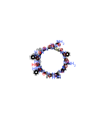 CCCC[C@H]1C(=O)N(C)[C@@H](CCCC)C(=O)N[C@@H]([C@@H](C)CC)C(=O)N[C@H](C(=O)NCC(N)=O)CSCC(=O)N[C@@H](Cc2ccccc2)C(=O)N(C)[C@@H](C)C(=O)N[C@@H](CC(N)=O)C(=O)N2CCC[C@H]2C(=O)NCC(c2cnc[nH]2)C(=O)N[C@@H](CC(C)C)C(=O)N(C)CC(=O)N[C@@H](Cc2c[nH]c3ccccc23)C(=O)N[C@@H](CO)C(=O)N[C@@H](Cc2c[nH]c3ccccc23)C(=O)N1C